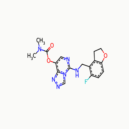 CN(C)C(=O)Oc1cnc(NCc2c(F)ccc3c2CCO3)n2cnnc12